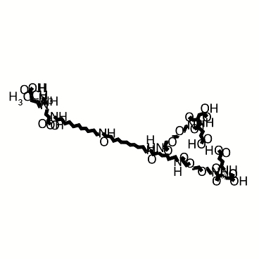 CC(C)(CC1=CN(CCC(NC(=O)CCCCCCCCCCNC(=O)CCCCCCCCCCNC(=O)C(CCCCNC(=O)COCCOCCNC(=O)[C@H](CC(=O)O)NC(=O)CCC(=O)O)NC(=O)COCCOCCNC(=O)C(CC(=O)O)NC(=O)CCC(=O)O)C(=O)O)NN1)C(=O)O